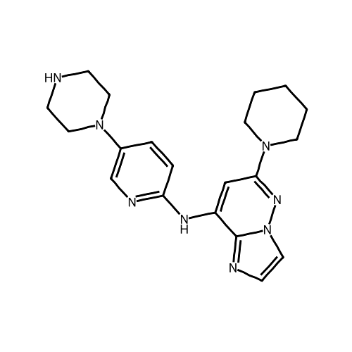 c1cn2nc(N3CCCCC3)cc(Nc3ccc(N4CCNCC4)cn3)c2n1